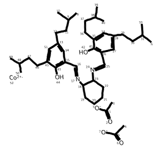 CC(=O)[O-].CC(=O)[O-].CC(C)CCc1cc(C=NC2CCCCC2N=Cc2cc(CCC(C)C)cc(CCC(C)C)c2O)c(O)c(CCC(C)C)c1.[Co+2]